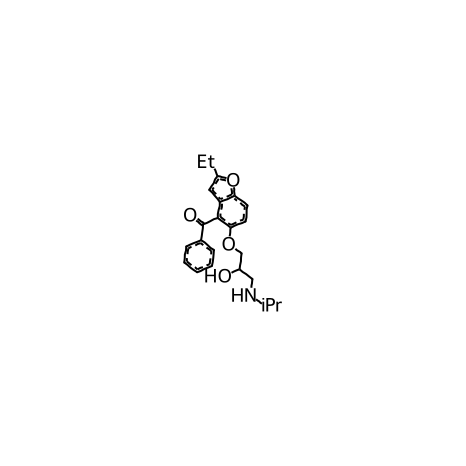 CCc1cc2c(C(=O)c3ccccc3)c(OCC(O)CNC(C)C)ccc2o1